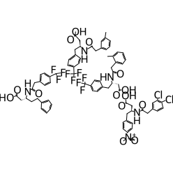 Cc1cccc(CC(=O)N[C@H](CC(=O)O)Cc2ccc(C(F)(F)F)cc2)c1.Cc1ccccc1CC(=O)N[C@H](CC(=O)O)Cc1ccc(C(F)(F)F)cc1.O=C(O)C[C@@H](CCc1ccccc1)NC(=O)Cc1ccc(C(F)(F)F)cc1.O=C(O)C[C@H](Cc1ccc([N+](=O)[O-])cc1)NC(=O)Cc1ccc(Cl)c(Cl)c1